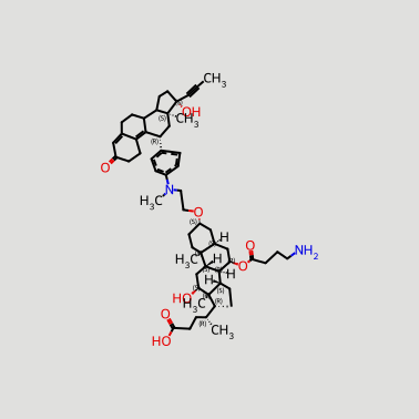 CC#C[C@]1(O)CCC2C3CCC4=CC(=O)CCC4=C3[C@@H](c3ccc(N(C)CCO[C@H]4CC[C@@]5(C)[C@@H](C4)C[C@@H](OC(=O)CCCN)[C@@H]4[C@@H]5C[C@H](O)[C@]5(C)[C@@H]([C@H](C)CCC(=O)O)CC[C@@H]45)cc3)C[C@@]21C